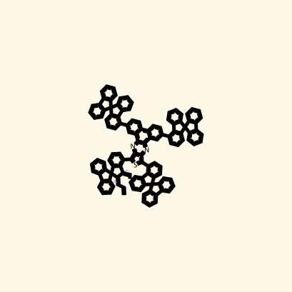 C=C/C=C1\C(=C/C)c2c(-c3sc(-c4cccc5c4-c4ccccc4C54c5ccccc5-c5ccccc54)c4nc5c6cc(-c7cccc8c7-c7ccccc7C87c8ccccc8-c8ccccc87)ccc6c6ccc(-c7cccc8c7-c7ccccc7C87c8ccccc8-c8ccccc87)cc6c5nc34)cccc2C12c1ccccc1-c1ccccc12